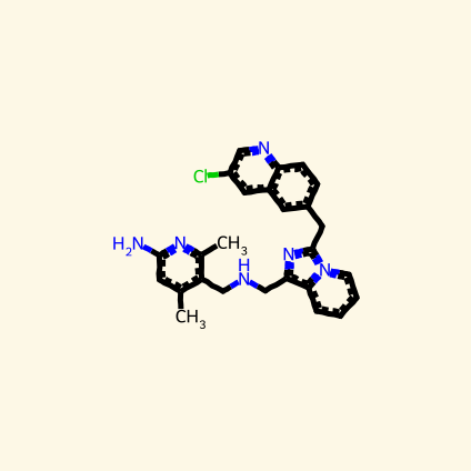 Cc1cc(N)nc(C)c1CNCc1nc(Cc2ccc3ncc(Cl)cc3c2)n2ccccc12